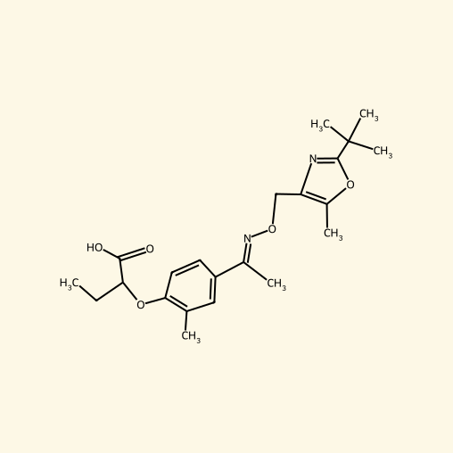 CCC(Oc1ccc(C(C)=NOCc2nc(C(C)(C)C)oc2C)cc1C)C(=O)O